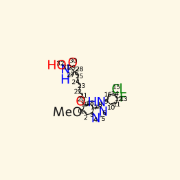 COc1cc2ncnc(Nc3ccc(F)c(Cl)c3)c2cc1OCCCCCC(C)(C)C(=O)NO